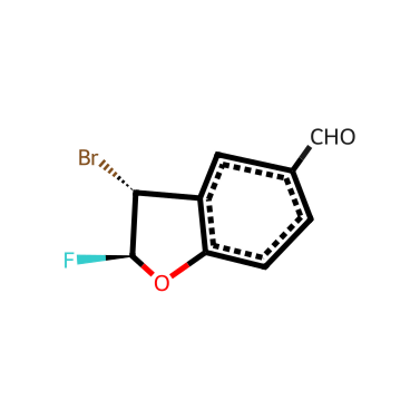 O=Cc1ccc2c(c1)[C@@H](Br)[C@H](F)O2